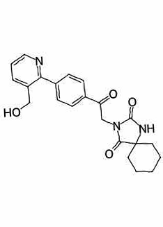 O=C(CN1C(=O)NC2(CCCCC2)C1=O)c1ccc(-c2ncccc2CO)cc1